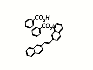 C(=Cc1ccc2ccccc2c1)c1ccc2ccccc2c1.O=C(O)c1ccccc1.O=C(O)c1ccccc1